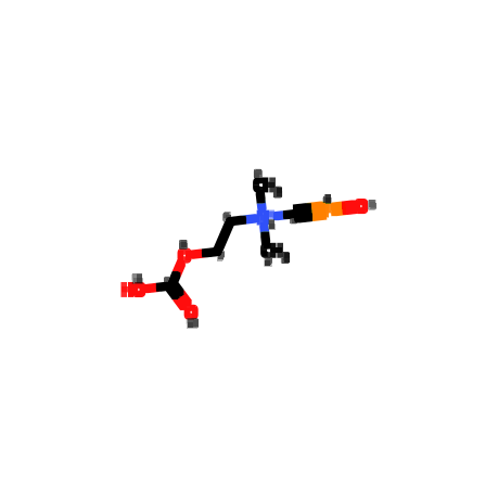 C[N+](C)(C#P=O)CCOC(=O)O